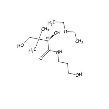 CC(C)(CO)[C@@H](O)C(=O)NCCCO.CCOCC